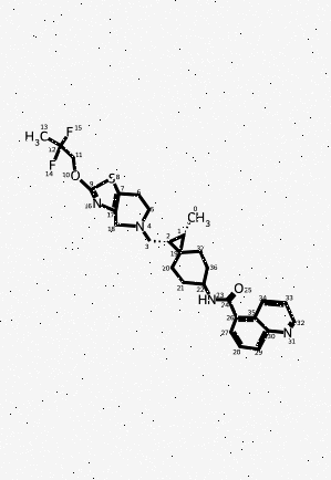 C[C@H]1[C@@H](CN2CCc3sc(OCC(C)(F)F)nc3C2)C12CCC(NC(=O)c1cccc3ncccc13)CC2